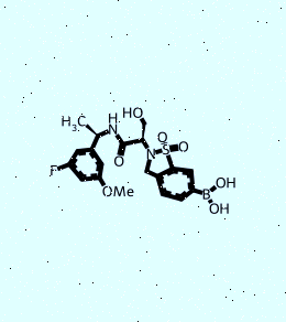 COc1cc(F)cc([C@@H](C)NC(=O)[C@@H](CO)N2Cc3ccc(B(O)O)cc3S2(=O)=O)c1